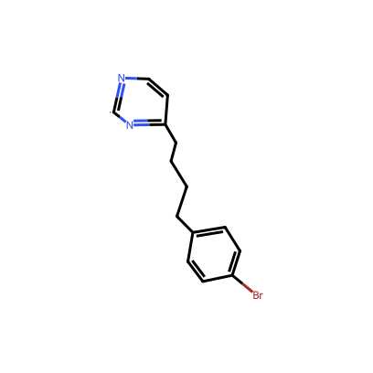 Brc1ccc(CCCCc2ccn[c]n2)cc1